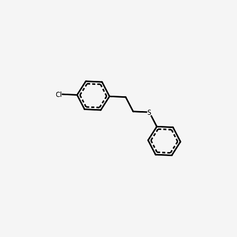 Clc1ccc(CCSc2ccccc2)cc1